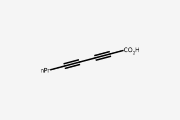 CCCC#CC#CC(=O)O